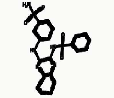 NS(=O)(=O)c1cccc(Nc2nc3ccccc3nc2NS(=O)(=O)c2ccccc2)c1